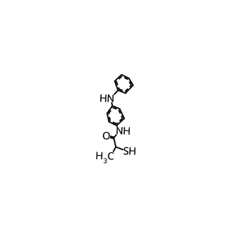 CC(S)C(=O)Nc1ccc(Nc2ccccc2)cc1